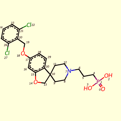 O=P(O)(O)CCCN1CCC2(CC1)COc1cc(OCc3c(Cl)cccc3Cl)ccc12